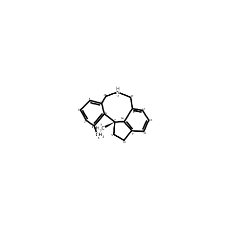 Cc1cccc2c1[C@@]1(C)CCc3cccc(c31)CNC2